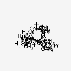 CCCC(=O)O[C@H]1[C@H](C)O[C@@H](O[C@H]2[C@H](C)[C@@H](O[C@@H]3O[C@H](C)C[C@H](N(C)C)[C@H]3O)[C@](C)(OC)C[C@@H](C)C(=O)N[C@H](C)[C@@H](O)[C@](C)(O)[C@@H](CC)OC(=O)[C@@H]2C)C[C@@]1(C)OC